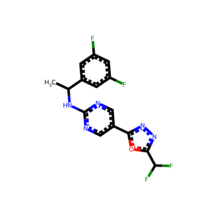 CC(Nc1ncc(-c2nnc(C(F)F)o2)cn1)c1cc(F)cc(F)c1